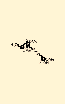 C=CCc1cc(Cc2cc(CCCSCCSCCCc3cc(C)c(O)c(OC)c3)cc(OC)c2O)c(O)c(OC)c1